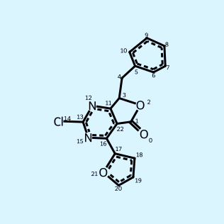 O=C1OC(Cc2ccccc2)c2nc(Cl)nc(-c3ccco3)c21